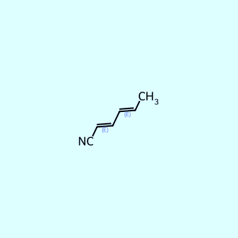 C/C=C/C=C/C#N